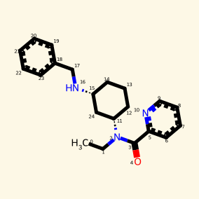 CCN(C(=O)c1ccccn1)[C@H]1CCC[C@@H](NCc2ccccc2)C1